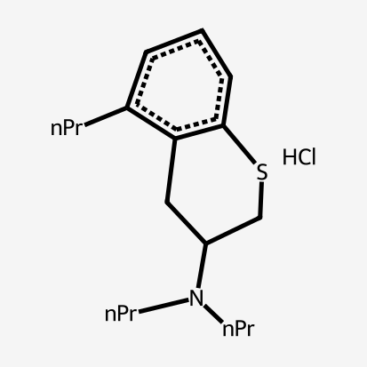 CCCc1cccc2c1CC(N(CCC)CCC)CS2.Cl